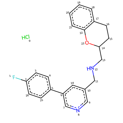 Cl.Fc1ccc(-c2cncc(CNCC3CCc4ccccc4O3)c2)cc1